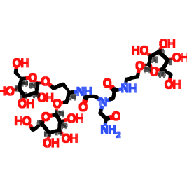 NC(=O)CN(CC(=O)NCCO[C@H]1O[C@H](CO)[C@@H](O)[C@H](O)[C@@H]1O)CC(=O)N[C@H](CCO[C@H]1O[C@H](CO)[C@@H](O)[C@H](O)[C@@H]1O)CO[C@H]1O[C@H](CO)[C@@H](O)[C@H](O)[C@@H]1O